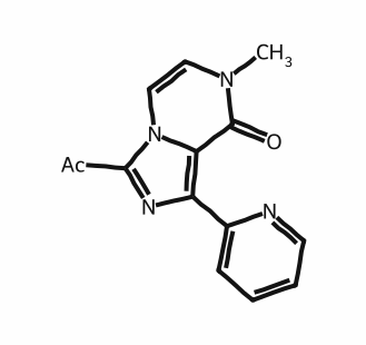 CC(=O)c1nc(-c2ccccn2)c2c(=O)n(C)ccn12